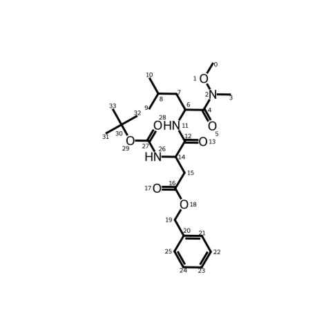 CON(C)C(=O)C(CC(C)C)NC(=O)C(CC(=O)OCc1ccccc1)NC(=O)OC(C)(C)C